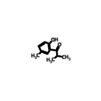 Cc1ccc(O)c(C(=O)C(C)C)c1